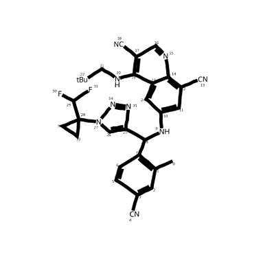 Cc1cc(C#N)ccc1C(Nc1cc(C#N)c2ncc(C#N)c(NCC(C)(C)C)c2c1)c1cn(C2(C(F)F)CC2)nn1